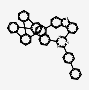 c1ccc(-c2ccc(-c3nc(-c4ccccc4)nc(-c4cccc5oc6ccc(-c7ccc(-c8cccc9c8C8(c%10ccccc%10-c%10ccccc%108)c8ccccc8-9)cc7)cc6c45)n3)cc2)cc1